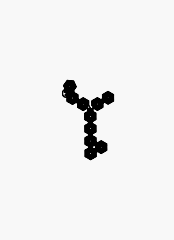 c1ccc(-c2ccc(N(c3ccc(-c4ccc(-c5ccc6c7ccccc7c7ccccc7c6c5)cc4)cc3)c3ccc(-c4ccc5oc6ccccc6c5c4)cc3)cc2)cc1